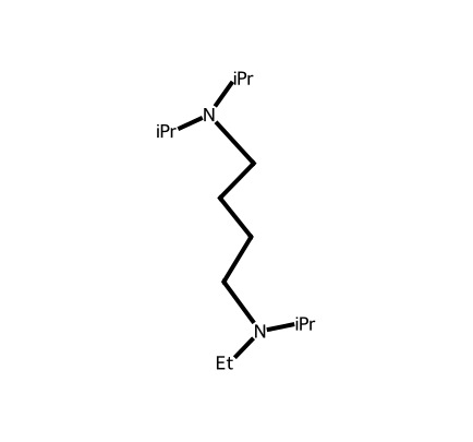 CCN(CCCCN(C(C)C)C(C)C)C(C)C